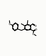 COC(=O)c1cc(Cc2ccc(OC)cc2)c(C)c(C)c1C=O